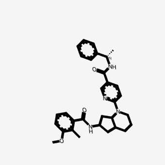 COc1cccc(C(=O)NC2CC3CCCN(c4ccc(C(=O)N[C@@H](C)c5ccccc5)cn4)C3C2)c1C